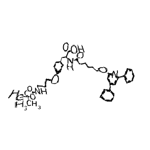 CC(C)(C)OC(=O)NCCCOc1ccc(CC(NC(=O)CCCCCOc2cc(-c3ccccc3)cc(-c3ccccc3)n2)C(=O)O)cc1